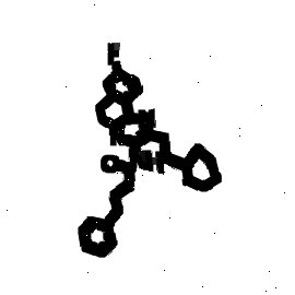 O=C(CCCc1ccccc1)Nc1nc2c(nc1CCC1CCCCC1)-c1ccc(F)cc1CC2